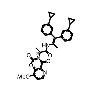 COc1ccnc2c(=O)n([C@@H](C)C(=O)NC(C)=C(c3cccc(C4CC4)c3)c3cccc(C4CC4)c3)c(=O)oc12